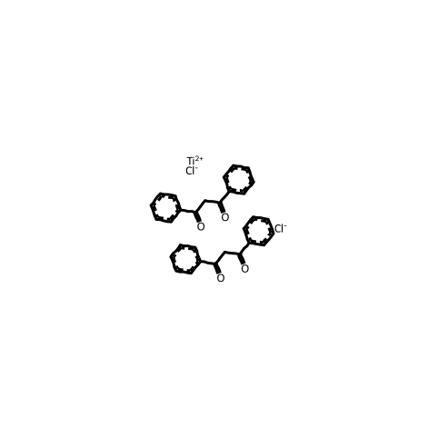 O=C(CC(=O)c1ccccc1)c1ccccc1.O=C(CC(=O)c1ccccc1)c1ccccc1.[Cl-].[Cl-].[Ti+2]